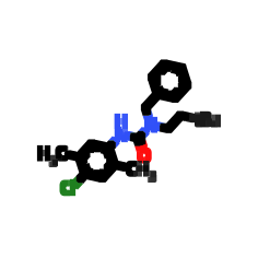 Cc1cc(NC(=O)N(CCC(C)(C)C)Cc2ccccc2)c(C)cc1Cl